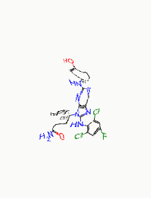 CCC[C@@H](CCC(N)=O)n1c(Nc2c(Cl)cc(F)cc2Cl)nc2cnc(N[C@@H]3CCCC(O)C3)nc21